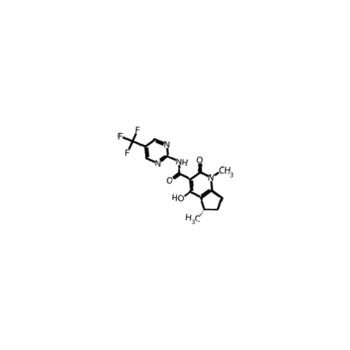 C[C@H]1CCc2c1c(O)c(C(=O)Nc1ncc(C(F)(F)F)cn1)c(=O)n2C